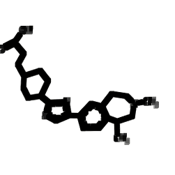 CC1CN(C)CCc2cc(-c3csc(C4CCC(CCC(=O)O)CC4)n3)ccc21